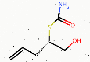 C=CC[C@@H](CO)SC(N)=O